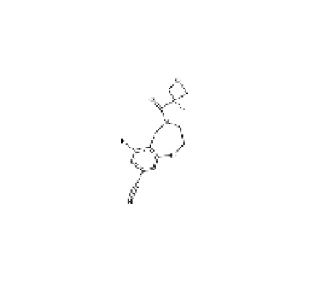 CC1(C(=O)N2CCOc3cc(C#N)cc(F)c3C2)COC1